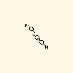 N#Cc1ccc(N2CCC(OCc3ccc(Br)cc3)CC2)cc1